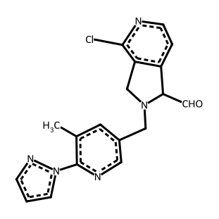 Cc1cc(CN2Cc3c(ccnc3Cl)C2C=O)cnc1-n1cccn1